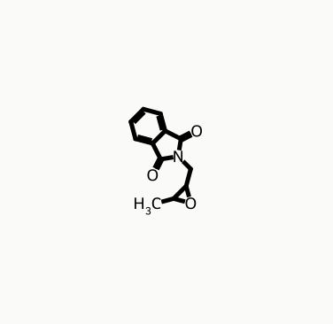 CC1OC1CN1C(=O)c2ccccc2C1=O